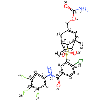 C[C@H]1C[C@H]2C=C(COC(N)=O)CC1C2S(=O)(=O)c1cc(C(=O)Nc2cc(F)c(F)c(F)c2)ccc1Cl